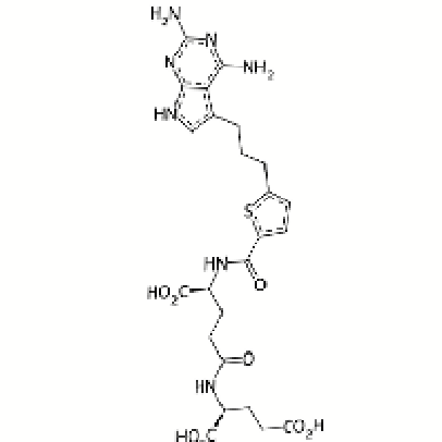 Nc1nc(N)c2c(CCCc3ccc(C(=O)N[C@@H](CCC(=O)N[C@@H](CCC(=O)O)C(=O)O)C(=O)O)s3)c[nH]c2n1